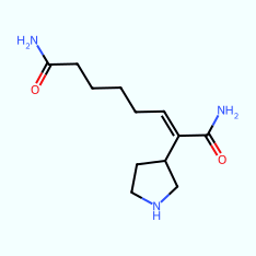 NC(=O)CCCC/C=C(/C(N)=O)C1CCNC1